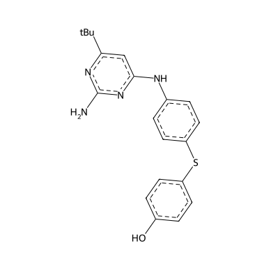 CC(C)(C)c1cc(Nc2ccc(Sc3ccc(O)cc3)cc2)nc(N)n1